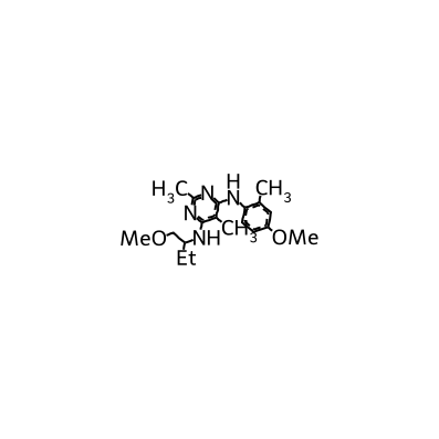 CCC(COC)Nc1nc(C)nc(Nc2ccc(OC)cc2C)c1C